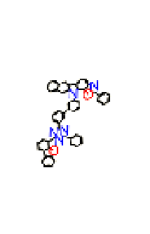 c1ccc(-c2nc(-c3cccc(-c4cccc(-n5c6cc7ccccc7cc6c6ccc7nc(-c8ccccc8)oc7c65)c4)c3)nc(-c3cccc4c3oc3ccccc34)n2)cc1